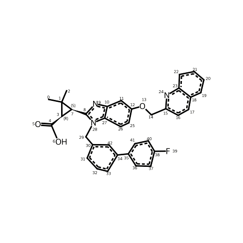 CC1(C)[C@H](C(=O)O)[C@@H]1c1nc2cc(OCc3ccc4ccccc4n3)ccc2n1Cc1cccc(-c2ccc(F)cc2)c1